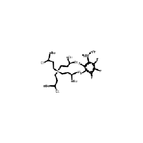 CCCCC(CC)CC[B-](CCC(CC)CCCC)(CCC(CC)CCCC)CCC(CC)CCCC.CCC[NH+](C)c1c(F)c(F)c(F)c(F)c1F